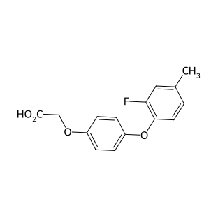 Cc1ccc(Oc2ccc(OCC(=O)O)cc2)c(F)c1